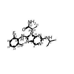 CC(C)Nc1ncc2nc(Nc3c(F)cccc3F)n([C@H](C)C(N)=O)c2n1